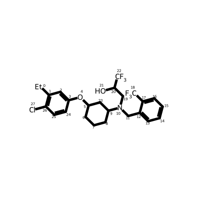 CCc1cc(OC2CCCC(N(Cc3ccccc3C(F)(F)F)CC(O)C(F)(F)F)C2)ccc1Cl